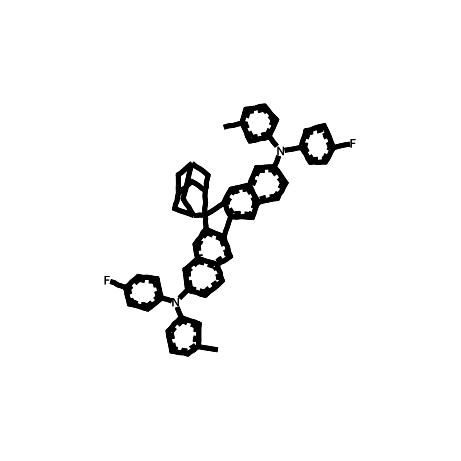 Cc1cccc(N(c2ccc(F)cc2)c2ccc3cc4c(cc3c2)C2(c3cc5cc(N(c6ccc(F)cc6)c6cccc(C)c6)ccc5cc3-4)C3CC4CC(C3)CC2C4)c1